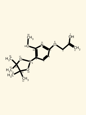 C=C(O)COc1ccc(B2OC(C)(C)C(C)(C)O2)c(OC)n1